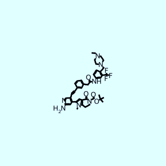 CCN1CCN(Cc2ccc(NC(=O)Cc3cccc(C#Cc4cnc(N)cc4-c4cc5c(n4C)CCN(C(=O)OC(C)(C)C)C5=O)c3)cc2C(F)(F)F)CC1